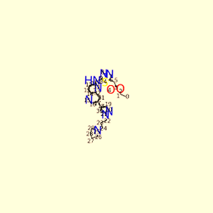 CCOC(=O)Cc1nnc(Nc2ccc3ncc(-c4cnn(CCCN5CCCC5)c4)cc3n2)s1